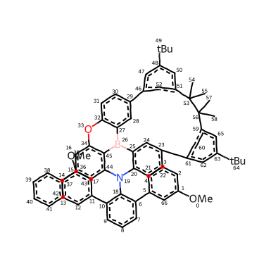 COc1cccc(-c2cccc(-c3cccc(OC)c3)c2N2c3ccc4cc3B3c5cc(ccc5Oc5cc(-c6ccccc6)cc2c53)-c2cc(C(C)(C)C)cc(c2)C(C)(C)C(C)(C)c2cc-4cc(C(C)(C)C)c2)c1